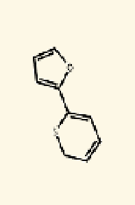 C1=CCSC(c2ccco2)=C1